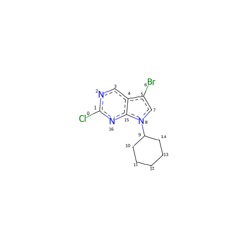 Clc1ncc2c(Br)cn(C3CCCCC3)c2n1